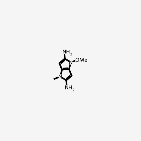 COn1c(N)cc2c1cc(N)n2C